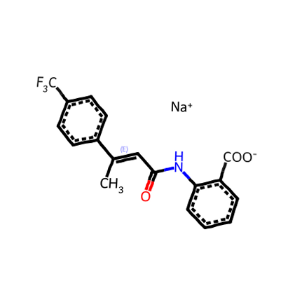 C/C(=C\C(=O)Nc1ccccc1C(=O)[O-])c1ccc(C(F)(F)F)cc1.[Na+]